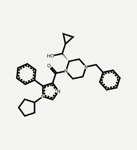 O=C(c1ncn(C2CCCC2)c1-c1ccccc1)N1CCN(Cc2ccccc2)C[C@H]1C(O)C1CC1